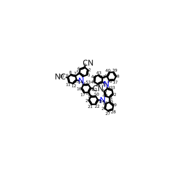 N#Cc1ccc2c(c1)c1cc(C#N)ccc1n2-c1ccc(-c2cccc(-n3c4ccccc4c4ccc(-n5c6ccccc6c6ccccc65)cc43)c2)c(C#N)c1